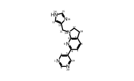 c1ncc(-c2ccc3c(n2)N(Cc2c[nH]cn2)CC3)cn1